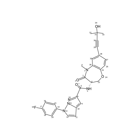 CN1C(=O)[C@@H](NC(=O)c2cc3ccn(-c4ccc(F)cc4)n3n2)COc2ccc(C#CC(C)(C)O)cc21